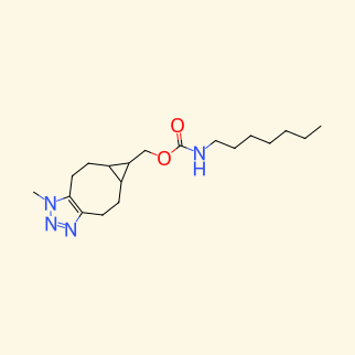 CCCCCCCNC(=O)OCC1C2CCc3nnn(C)c3CCC21